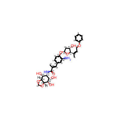 C/C(=C/COc1ccccc1)[C@H]1O[C@@H](Oc2ccc(/C=C(\C)C(=O)N[C@@H]3[C@H](O)[C@@H](O)[C@H]4OCO[C@H]4[C@@H]3O)cc2N)C[C@@H]1O